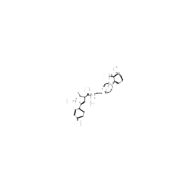 CCN1C(c2ccc(Cl)cc2)=CC(C(=O)NCCN2CCN(c3cccc(Cl)c3Cl)CC2)C1C